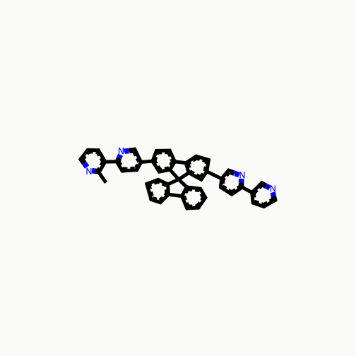 Cc1ncccc1-c1ccc(-c2ccc3c(c2)C2(c4ccccc4-c4ccccc42)c2cc(-c4ccc(-c5cccnc5)nc4)ccc2-3)cn1